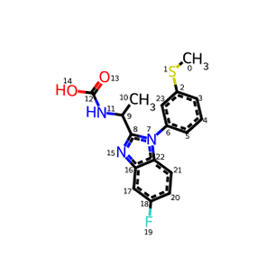 CSc1cccc(-n2c(C(C)NC(=O)O)nc3cc(F)ccc32)c1